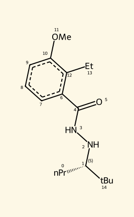 CCC[C@H](NNC(=O)c1cccc(OC)c1CC)C(C)(C)C